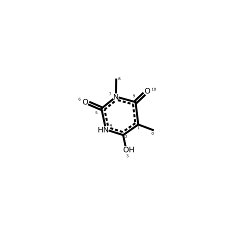 Cc1c(O)[nH]c(=O)n(C)c1=O